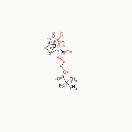 CCC(C)(C)C(=O)OCCOC(=O)OC1C2CC3C1OS(=O)(=O)C3C2